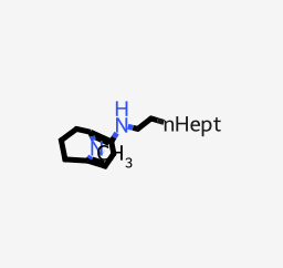 CCCCCCCCCNC1=C2CCCC(=CC1)N2C